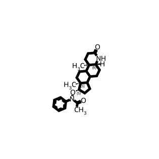 CC(=O)N(O[C@H]1CCC2C3CC[C@H]4NC(=O)CC[C@]4(C)C3CC[C@@]21C)c1ccccc1